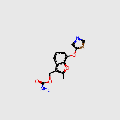 Cc1oc2c(Oc3cncs3)cccc2c1COC(N)=O